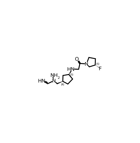 N=CN(N)C[C@@H]1CC[C@H](NCC(=O)N2CC[C@H](F)C2)C1